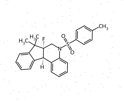 Cc1ccc(S(=O)(=O)N2C[C@@]3(F)[C@@H](c4ccccc42)c2ccccc2C3(C)C)cc1